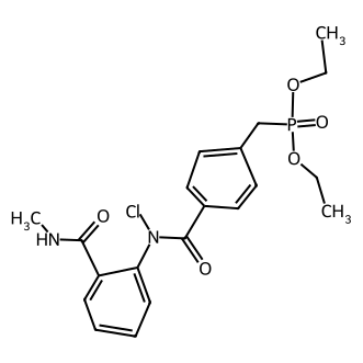 CCOP(=O)(Cc1ccc(C(=O)N(Cl)c2ccccc2C(=O)NC)cc1)OCC